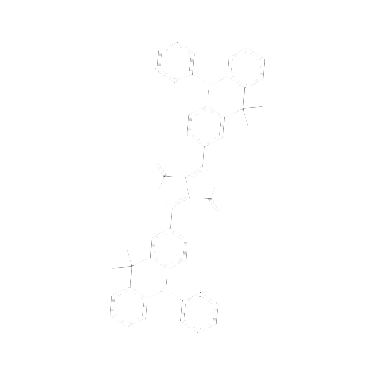 CC1(C)c2ccccc2N(c2cccnc2)c2ccc(C3=C4C(=O)OC(c5ccc6c(c5)C(C)(C)c5ccccc5N6c5cccnc5)=C4C(=O)O3)cc21